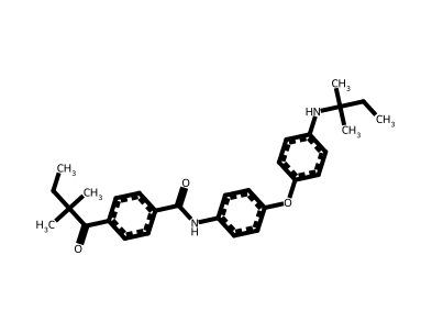 CCC(C)(C)Nc1ccc(Oc2ccc(NC(=O)c3ccc(C(=O)C(C)(C)CC)cc3)cc2)cc1